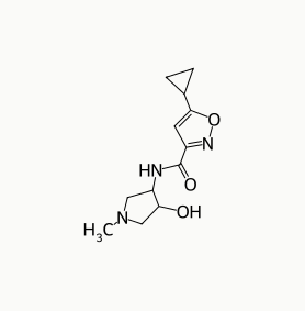 CN1CC(O)C(NC(=O)c2cc(C3CC3)on2)C1